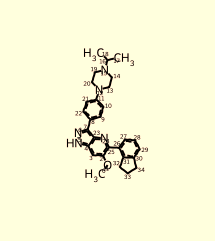 COc1cc2[nH]nc(-c3ccc(N4CCN(C(C)C)CC4)cc3)c2nc1-c1cccc2c1CCC2